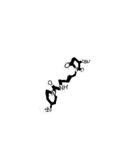 CC(C)(C)C1CCN(C(=O)NCCCCN2C(=O)CC(C(C)(C)C)C2=O)CC1